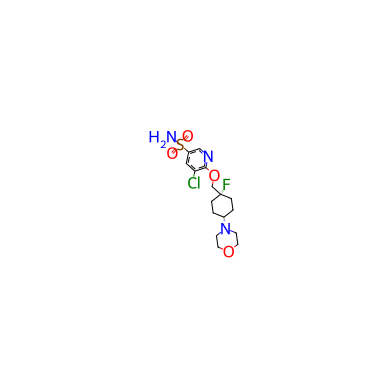 NS(=O)(=O)c1cnc(OC[C@]2(F)CC[C@@H](N3CCOCC3)CC2)c(Cl)c1